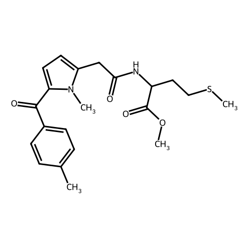 COC(=O)C(CCSC)NC(=O)Cc1ccc(C(=O)c2ccc(C)cc2)n1C